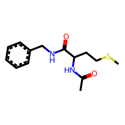 CSCCC(NC(C)=O)C(=O)NCc1ccccc1